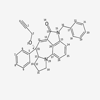 C#CCO[C@]1(c2ccccc2)C=C2C(=O)N(Cc3ccccc3)c3cccc(c32)N2CCCC21